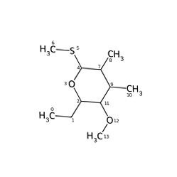 CCC1OC(SC)C(C)C(C)C1OC